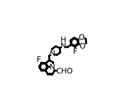 O=CC1C=Cc2ccc(F)c3c2N1CC3CN1CCC(NCc2ccc3c(c2F)OCCO3)CC1